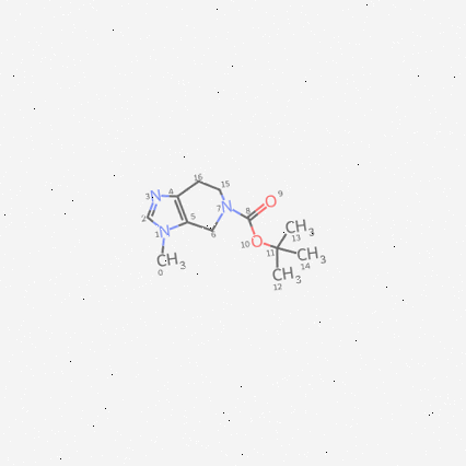 Cn1cnc2c1CN(C(=O)OC(C)(C)C)CC2